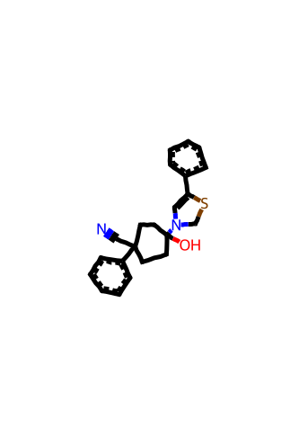 N#CC1(c2ccccc2)CCC(O)(N2C=C(c3ccccc3)SC2)CC1